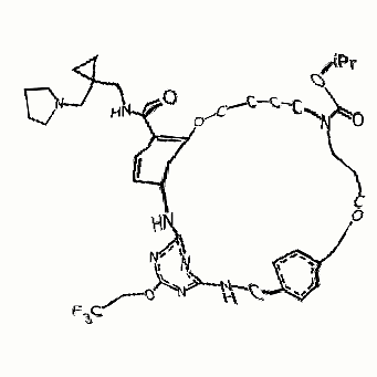 CC(C)OC(=O)N1CCCCOC2=C(C(=O)NCC3(CN4CCCC4)CC3)C=CC(C2)Nc2nc(nc(OCC(F)(F)F)n2)NCc2ccc(cc2)OCCC1